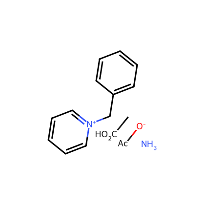 CC(=O)O.CC(=O)[O-].N.c1ccc(C[n+]2ccccc2)cc1